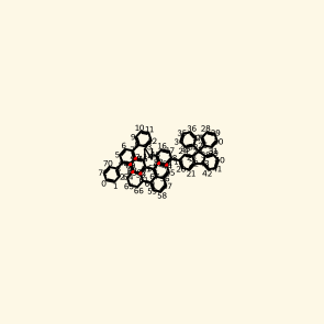 c1ccc(-c2ccc(-c3ccccc3N(c3ccc(-c4ccc5c(c4)C(c4ccccc4)(c4ccccc4)c4ccccc4-5)cc3)c3ccccc3-c3cccc4cccc(C5CCCCC5)c34)cc2)cc1